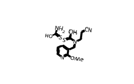 COc1ncccc1CN(CCC#N)C(O)=S.NC(O)=S